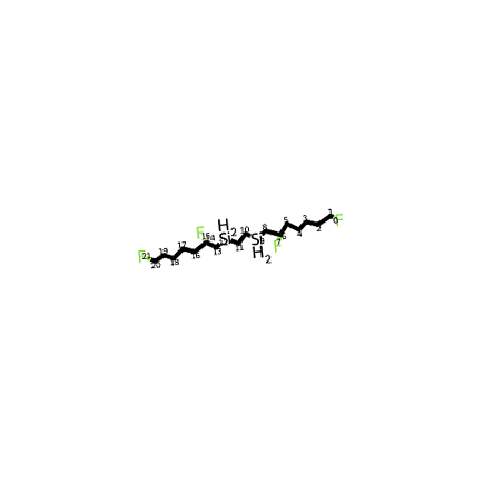 FCCCCCC(F)C[SiH2]CC[SiH2]CC(F)CCCCCF